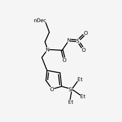 CCCCCCCCCCCCN(Cc1coc([Si](CC)(CC)CC)c1)C(=O)N=S(=O)=O